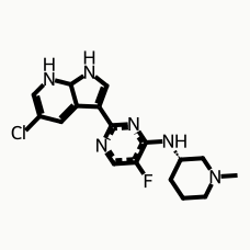 CN1CCC[C@H](Nc2nc(C3=CNC4NC=C(Cl)C=C34)ncc2F)C1